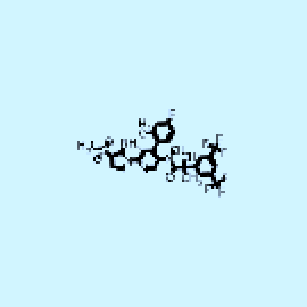 Cc1cc(F)ccc1-c1cc(N2CCC(S(C)(=O)=O)C2N)ncc1N(C)C(=O)C(C)(C)c1cc(C(F)(F)F)cc(C(F)(F)F)c1